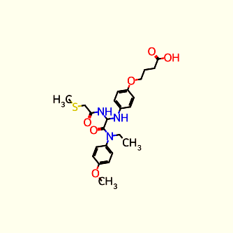 CCN(C(=O)C(NC(=O)CSC)Nc1ccc(OCCCC(=O)O)cc1)c1ccc(OC)cc1